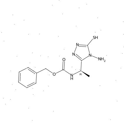 C[C@@H](NC(=O)OCc1ccccc1)c1nnc(S)n1N